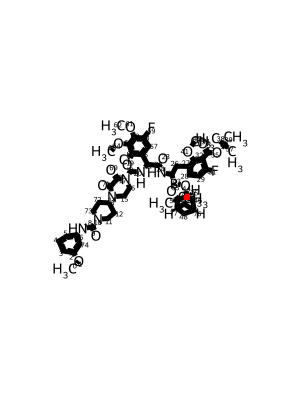 COc1cccc(NC(=O)N2CCC(N3CCN(C(=O)NC(C(=O)NC(Cc4ccc(F)c(C(=O)OC(C)(C)C)c4OC)B4O[C@@H]5C[C@@H]6C[C@@H](C6(C)C)[C@]5(C)O4)c4cc(F)c(OC)c(OC)c4Cl)C(=O)C3=O)CC2)c1